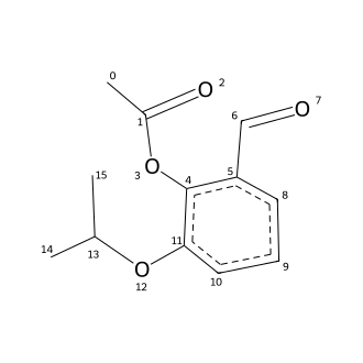 CC(=O)Oc1c(C=O)cccc1OC(C)C